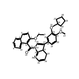 CCOc1ccc2ccccc2c1C(=O)N1C=C(c2ccc(OC)c(OC3CCCC3)c2)C2CC=CN=C21